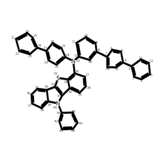 c1ccc(-c2ccc(-c3cccc(N(c4ccc(-c5ccccc5)cc4)c4cccc5c4sc4c6ccccc6n(-c6ccccc6)c54)c3)cc2)cc1